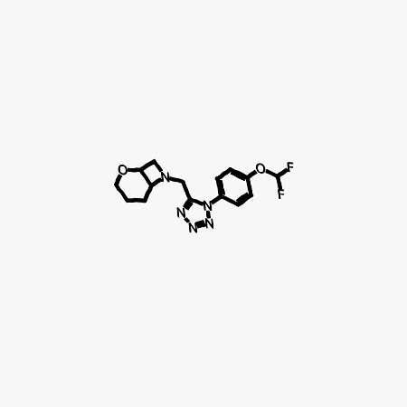 FC(F)Oc1ccc(-n2nnnc2CN2CC3OCCCC32)cc1